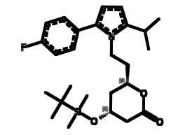 CC(C)c1ccc(-c2ccc(F)cc2)n1CC[C@@H]1C[C@@H](O[Si](C)(C)C(C)(C)C)CC(=O)O1